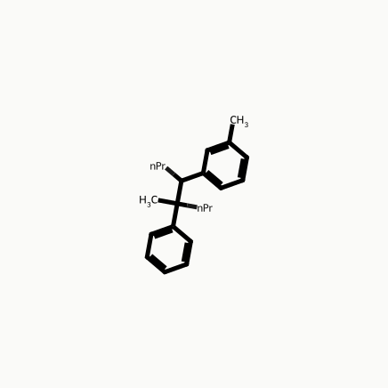 CCCC(c1cccc(C)c1)C(C)(CCC)c1ccccc1